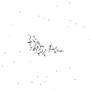 CC1CC[C@@]2(C)[C@@H](C1)CC(C)[C@@H]1[C@@H]2CC(C)[C@]2(C)[C@@H]([C@H](C)CCC(O)=C3CC(O)C3)CC[C@@H]12